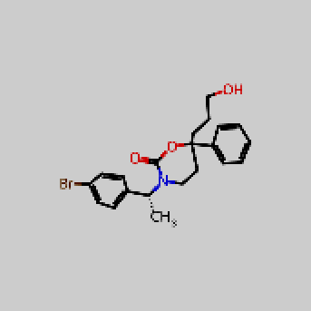 C[C@H](c1ccc(Br)cc1)N1CCC(CCCO)(c2ccccc2)OC1=O